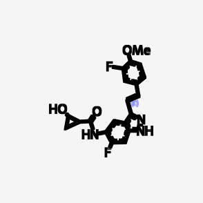 COc1ccc(/C=C/c2n[nH]c3cc(F)c(NC(=O)C4CC4O)cc23)cc1F